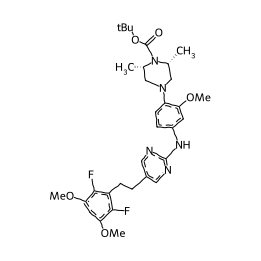 COc1cc(Nc2ncc(CCc3c(F)c(OC)cc(OC)c3F)cn2)ccc1N1C[C@@H](C)N(C(=O)OC(C)(C)C)[C@@H](C)C1